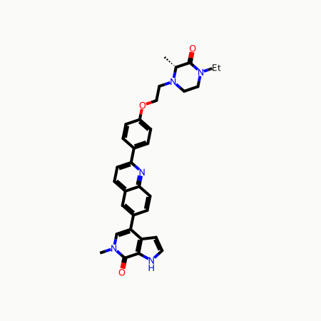 CCN1CCN(CCOc2ccc(-c3ccc4cc(-c5cn(C)c(=O)c6[nH]ccc56)ccc4n3)cc2)[C@H](C)C1=O